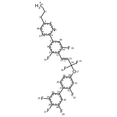 CCCc1cnc(-c2cc(F)c(/C=C/C(F)(F)Oc3ccc(-c4cc(F)c(F)c(F)c4)c(F)c3)c(F)c2)nc1